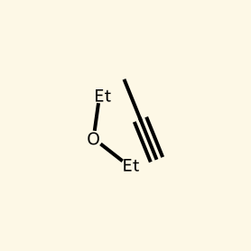 C#CC.CCOCC